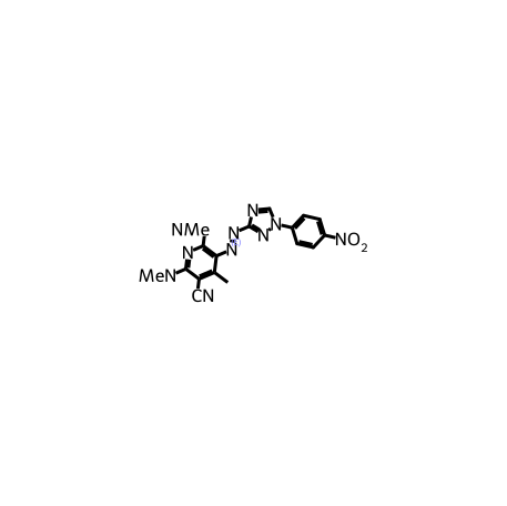 CNc1nc(NC)c(/N=N/c2ncn(-c3ccc([N+](=O)[O-])cc3)n2)c(C)c1C#N